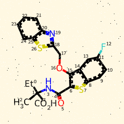 CCC(C)(NC(=O)c1sc2ccc(F)cc2c1OCc1nc2ccccc2s1)C(=O)O